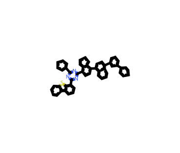 c1ccc(-c2cccc(-c3ccc(-c4ccc(-c5nc(-c6ccccc6)nc(-c6cccc7c6sc6ccccc67)n5)c5ccccc45)c4ccccc34)c2)cc1